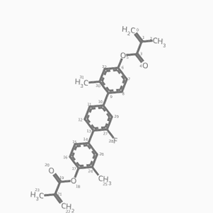 C=C(C)C(=O)Oc1ccc(-c2ccc(-c3ccc(OC(=O)C(=C)C)c(C)c3)c(F)c2)c(C)c1